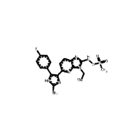 CC(C)(C)Cn1c(NOS(C)(=O)=O)nc2ccc(-c3nc(C(C)(C)C)[nH]c3-c3ccc(F)cc3)nc21